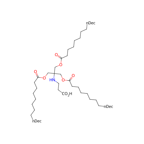 CCCCCCCCCCCCCCCCCC(=O)OCC(COC(=O)CCCCCCCCCCCCCCCCC)(COC(=O)CCCCCCCCCCCCCCCCC)NCCC(=O)O